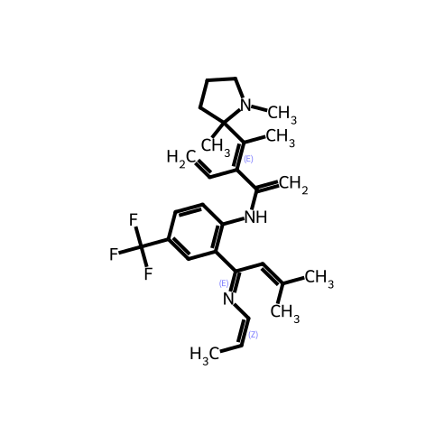 C=C/C(C(=C)Nc1ccc(C(F)(F)F)cc1/C(C=C(C)C)=N/C=C\C)=C(/C)C1(C)CCCN1C